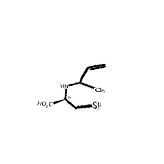 C=CC(O)N[C@@H](CS)C(=O)O